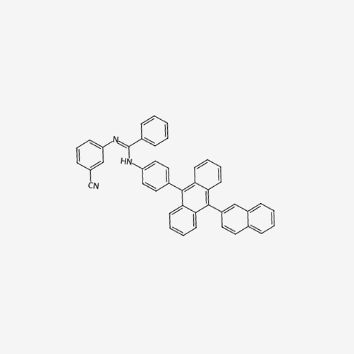 N#Cc1cccc(/N=C(\Nc2ccc(-c3c4ccccc4c(-c4ccc5ccccc5c4)c4ccccc34)cc2)c2ccccc2)c1